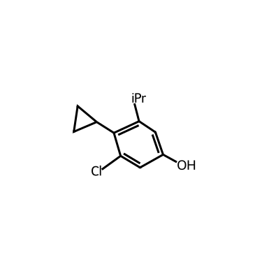 CC(C)c1cc(O)cc(Cl)c1C1CC1